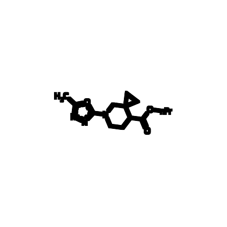 CCCOC(=O)C1CCN(c2nnc(C)o2)CC12CC2